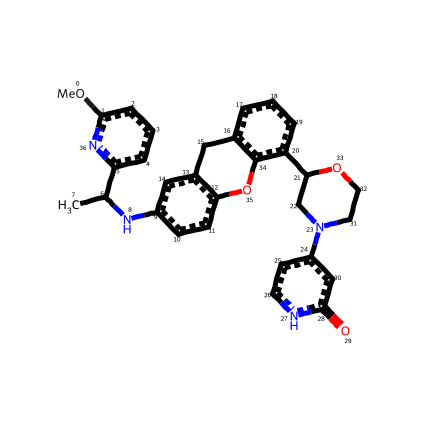 COc1cccc(C(C)Nc2ccc3c(c2)Cc2cccc(C4CN(c5cc[nH]c(=O)c5)CCO4)c2O3)n1